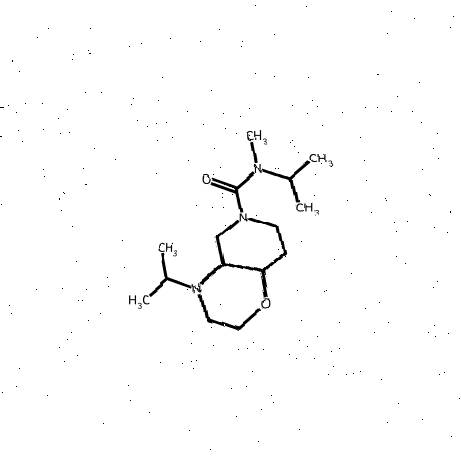 CC(C)N(C)C(=O)N1CCC2OCCN(C(C)C)C2C1